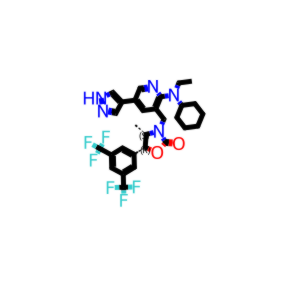 CCN(c1ncc(-c2cn[nH]c2)cc1CN1C(=O)O[C@H](c2cc(C(F)(F)F)cc(C(F)(F)F)c2)[C@@H]1C)C1CCCCC1